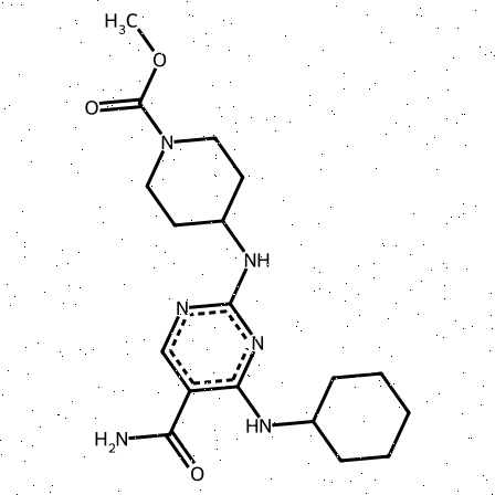 COC(=O)N1CCC(Nc2ncc(C(N)=O)c(NC3CCCCC3)n2)CC1